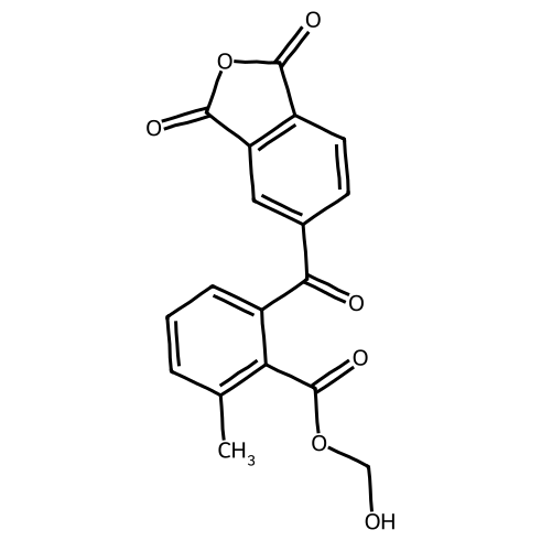 Cc1cccc(C(=O)c2ccc3c(c2)C(=O)OC3=O)c1C(=O)OCO